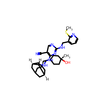 CSc1ncccc1CNc1ncc(C#N)c(NC[C@]23CC4C[C@H](C2)[C@@H](NC[C@H]2CC[C@@](C)(O)CC2)[C@@H](C4)C3)n1